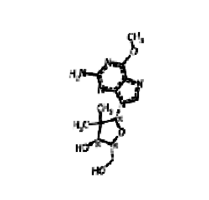 COc1nc(N)nc2c1ncn2[C@@H]1O[C@H](CO)[C@@H](O)C1(C)C